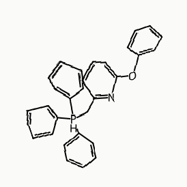 c1ccc(Oc2cccc(C[PH](c3ccccc3)(c3ccccc3)c3ccccc3)n2)cc1